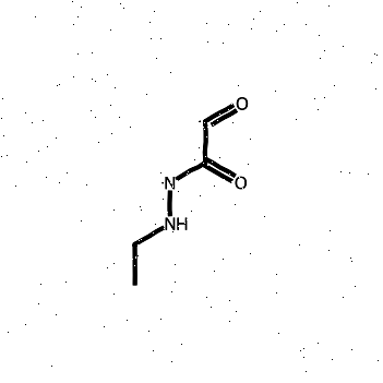 CCN[N]C(=O)[C]=O